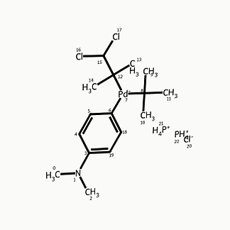 CN(C)c1cc[c]([Pd-]([C](C)(C)C)[C](C)(C)C(Cl)Cl)cc1.[Cl-].[PH4+].[PH4+]